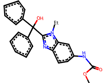 CCn1c(C(O)(c2ccccc2)c2ccccc2)nc2ccc(NC(=O)OC(C)(C)C)cc21